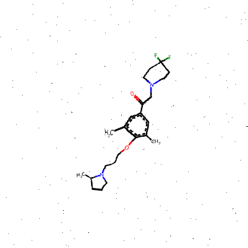 Cc1cc(C(=O)CN2CCC(F)(F)CC2)cc(C)c1OCCCN1CCC[C@H]1C